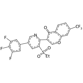 CCS(=O)(=O)c1cc(-c2cc(F)c(F)c(F)c2)cnc1-c1coc2cc(C(F)(F)F)ccc2c1=O